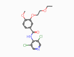 CCOCCOc1cc(C(=O)Nc2c(Cl)cncc2Cl)ccc1OC